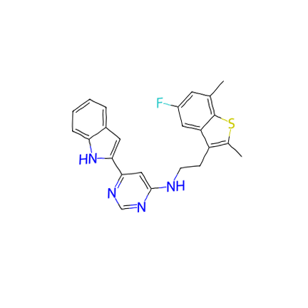 Cc1sc2c(C)cc(F)cc2c1CCNc1cc(-c2cc3ccccc3[nH]2)ncn1